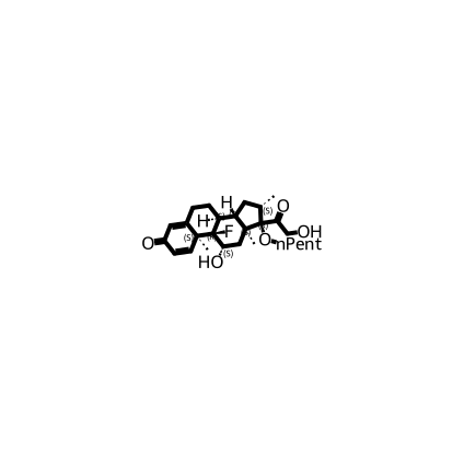 CCCCCO[C@]1(C(=O)CO)[C@@H](C)C[C@H]2[C@@H]3CCC4=CC(=O)C=C[C@]4(C)[C@@]3(F)[C@@H](O)C[C@@]21C